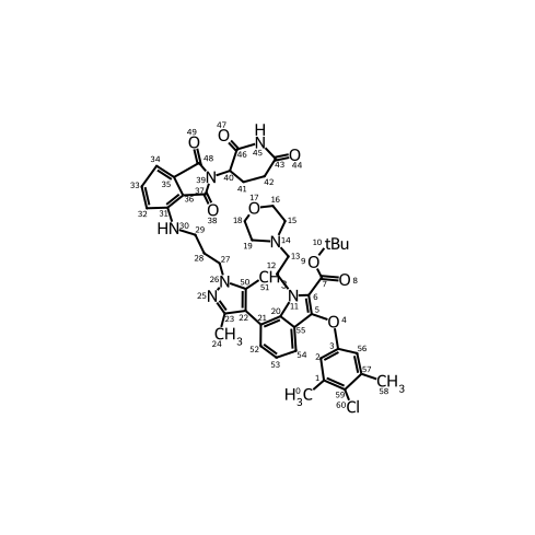 Cc1cc(Oc2c(C(=O)OC(C)(C)C)n(CCN3CCOCC3)c3c(-c4c(C)nn(CCCNc5cccc6c5C(=O)N(C5CCC(=O)NC5=O)C6=O)c4C)cccc23)cc(C)c1Cl